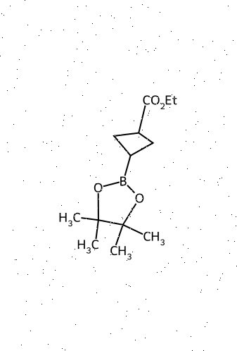 CCOC(=O)C1CC(B2OC(C)(C)C(C)(C)O2)C1